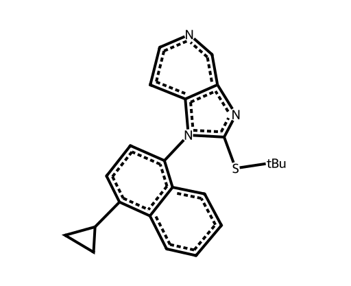 CC(C)(C)Sc1nc2cnccc2n1-c1ccc(C2CC2)c2ccccc12